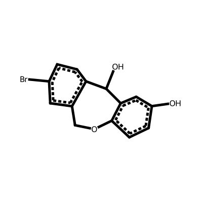 Oc1ccc2c(c1)C(O)c1ccc(Br)cc1CO2